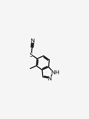 Cc1c(SC#N)ccc2[nH]ncc12